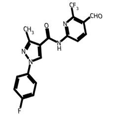 Cc1nn(-c2ccc(F)cc2)cc1C(=O)Nc1ccc(C=O)c(C(F)(F)F)n1